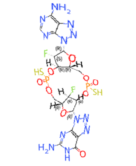 Nc1nc2c(nnn2[C@@H]2O[C@@H]3COP(=O)(S)O[C@H]4[C@H](F)[C@H](n5nnc6c(N)ncnc65)O[C@@H]4COP(=O)(S)O[C@H]2[C@@H]3F)c(=O)[nH]1